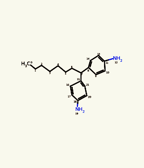 CCCCCCCC(c1ccc(N)cc1)c1ccc(N)cc1